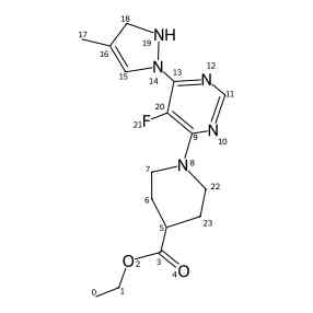 CCOC(=O)C1CCN(c2ncnc(N3C=C(C)CN3)c2F)CC1